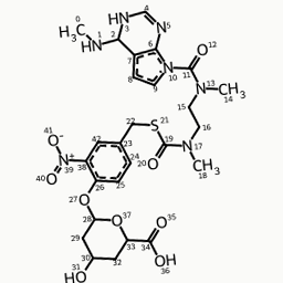 CNC1NC=Nc2c1ccn2C(=O)N(C)CCN(C)C(=O)SCc1ccc(OC2CC(O)CC(C(=O)O)O2)c([N+](=O)[O-])c1